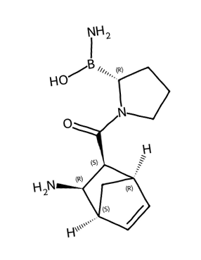 NB(O)[C@@H]1CCCN1C(=O)[C@@H]1[C@H](N)[C@@H]2C=C[C@H]1C2